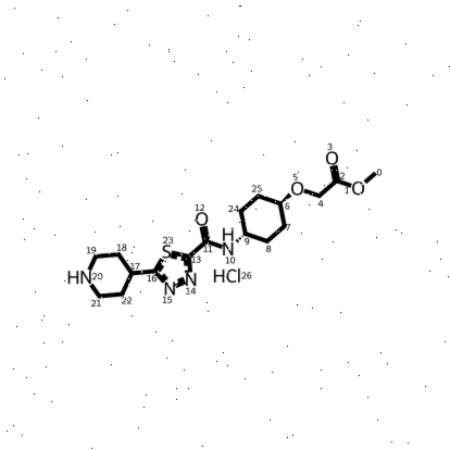 COC(=O)CO[C@H]1CC[C@H](NC(=O)c2nnc(C3CCNCC3)s2)CC1.Cl